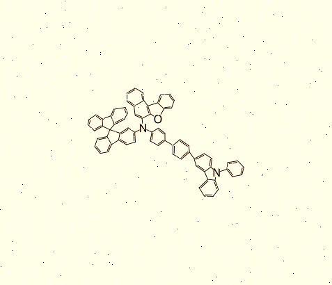 c1ccc(-n2c3ccccc3c3cc(-c4ccc(-c5ccc(N(c6ccc7c(c6)C6(c8ccccc8-c8ccccc86)c6ccccc6-7)c6cc7ccccc7c7c6oc6ccccc67)cc5)cc4)ccc32)cc1